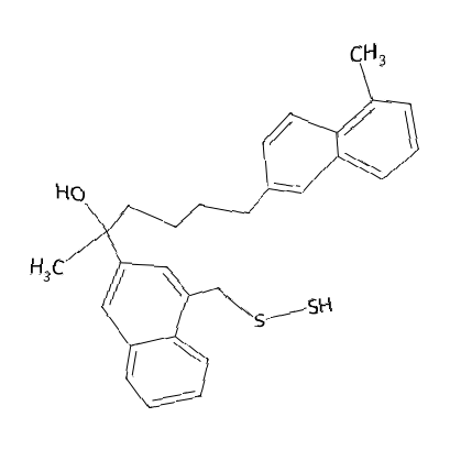 Cc1cccc2cc(CCCCC(C)(O)c3cc(CSS)c4ccccc4c3)ccc12